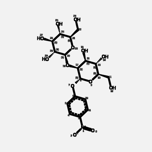 O=[N+]([O-])c1ccc(O[C@H]2O[C@H](CO)[C@@H](O)[C@H](O)[C@@H]2O[C@@H]2O[C@H](CO)[C@@H](O)[C@H](O)[C@H]2O)cc1